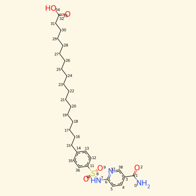 NC(=O)c1ccc(NS(=O)(=O)c2ccc(CCCCCCCCCCCCCCCCCC(=O)O)cc2)nc1